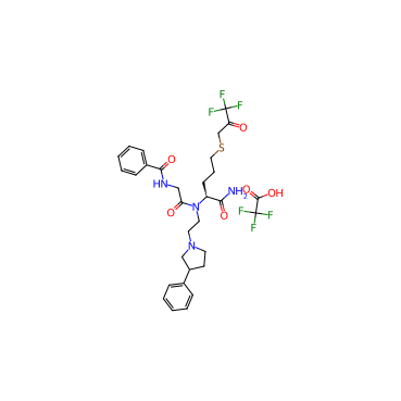 NC(=O)[C@H](CCCSCC(=O)C(F)(F)F)N(CCN1CCC(c2ccccc2)C1)C(=O)CNC(=O)c1ccccc1.O=C(O)C(F)(F)F